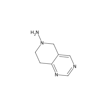 NN1CCc2ncncc2C1